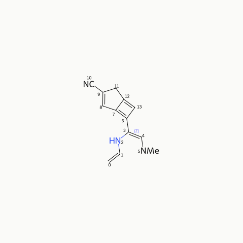 C=CN/C(=C\NC)C1=C2C=C(C#N)CC2=C1